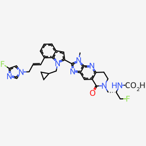 Cn1c(-c2cc3cccc(/C=C/Cn4cnc(F)c4)c3n2CC2CC2)nc2cc3c(nc21)CCN(C[C@@H](CF)NC(=O)O)C3=O